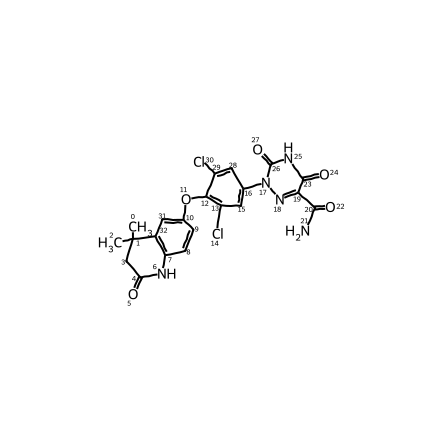 CC1(C)CC(=O)Nc2ccc(Oc3c(Cl)cc(-n4nc(C(N)=O)c(=O)[nH]c4=O)cc3Cl)cc21